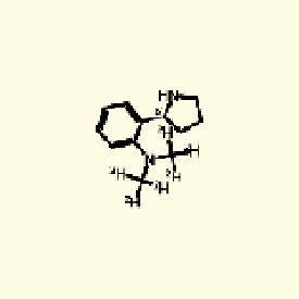 [2H]C([2H])([2H])N(c1ccccc1[C@@H]1CCCN1)C([2H])([2H])[2H]